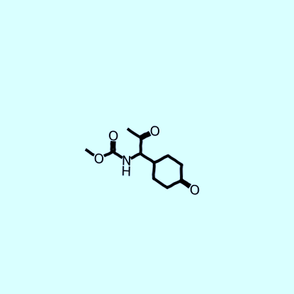 COC(=O)NC(C(C)=O)C1CCC(=O)CC1